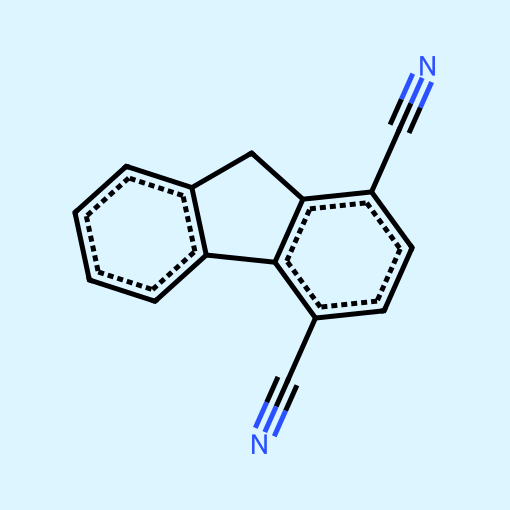 N#Cc1ccc(C#N)c2c1Cc1ccccc1-2